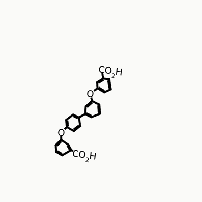 O=C(O)c1cccc(Oc2ccc(-c3cccc(Oc4cccc(C(=O)O)c4)c3)cc2)c1